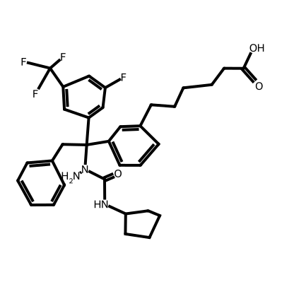 NN(C(=O)NC1CCCC1)C(Cc1ccccc1)(c1cccc(CCCCCC(=O)O)c1)c1cc(F)cc(C(F)(F)F)c1